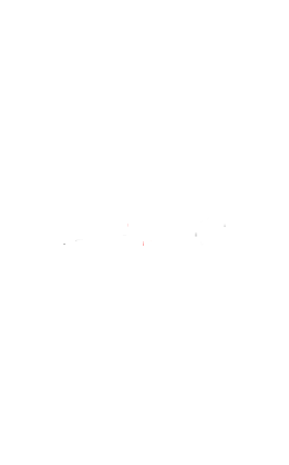 [CH2]CCCCCCCC(=O)OCCc1ccccc1